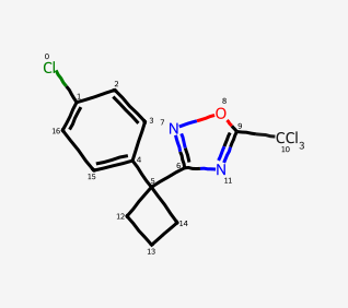 Clc1ccc(C2(c3noc(C(Cl)(Cl)Cl)n3)CCC2)cc1